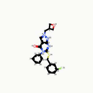 O=c1c2cn(CC3COC3)nc2nc(SCc2cccc(F)c2)n1-c1ccccc1